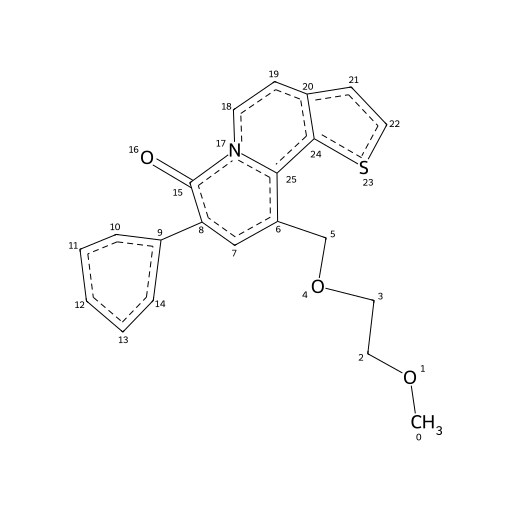 COCCOCc1cc(-c2ccccc2)c(=O)n2ccc3ccsc3c12